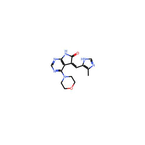 Cc1nc[nH]c1/C=C1\C(=O)Nc2ncnc(N3CCOCC3)c21